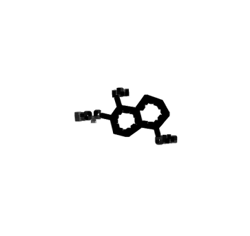 CCCCc1c(C(=O)OCC)ccc2c(OC)cccc12